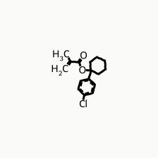 C=C(C)C(=O)OC1(c2ccc(Cl)cc2)CCCCC1